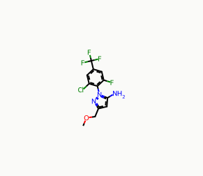 COCc1cc(N)n(-c2c(F)cc(C(F)(F)F)cc2Cl)n1